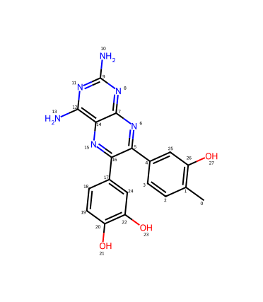 Cc1ccc(-c2nc3nc(N)nc(N)c3nc2-c2ccc(O)c(O)c2)cc1O